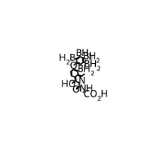 Bc1c(B)c(B)c(Oc2ccc3c(O)c(C(=O)NCC(=O)O)nc(C)c3c2)c(B)c1B